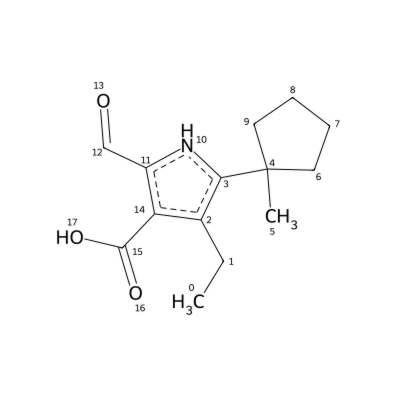 CCc1c(C2(C)CCCC2)[nH]c(C=O)c1C(=O)O